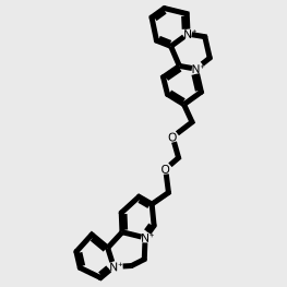 c1cc[n+]2c(c1)-c1ccc(COCOCc3ccc4[n+](c3)CC[n+]3ccccc3-4)c[n+]1CC2